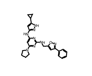 c1ccc(-c2cc(CNc3nc(Nc4cc(C5CC5)[nH]n4)cc(N4CCCC4)n3)on2)cc1